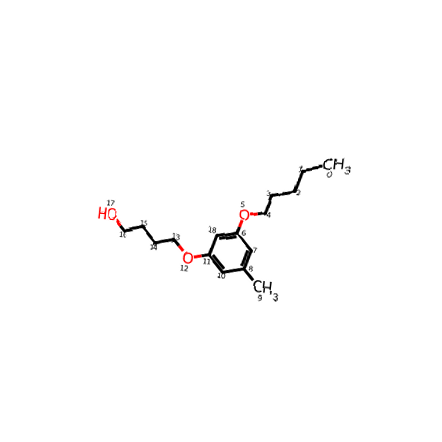 CCCCCOc1cc(C)cc(OCCCCO)c1